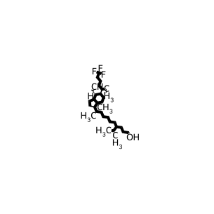 CC[C@@H]1[C@@H](C(C)CCCC(F)(F)F)CC[C@]2(C)[C@@H]([C@H](C)CCCCCC(CCCO)C(C)C)CC[C@@H]12